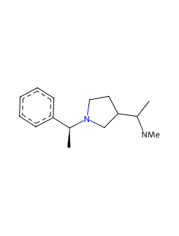 CNC(C)C1CCN([C@@H](C)c2ccccc2)C1